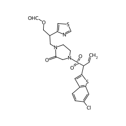 C=CC(c1cc2ccc(Cl)cc2s1)S(=O)(=O)N1CCN(CC(COC=O)c2cscn2)C(=O)C1